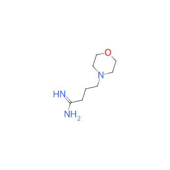 N=C(N)CCCN1CCOCC1